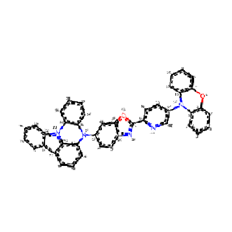 c1ccc2c(c1)Oc1ccccc1N2c1ccc(-c2nc3ccc(N4c5ccccc5-n5c6ccccc6c6cccc4c65)cc3o2)nc1